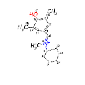 Cc1cc(/C=[N+](\C)C2CCCCC2)cc(C)c1O